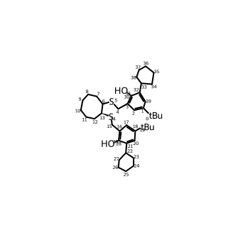 CC(C)(C)c1cc(CSC2CCCCCC[C@@H]2SCc2cc(C(C)(C)C)cc(C3CCCCC3)c2O)c(O)c(C2CCCCC2)c1